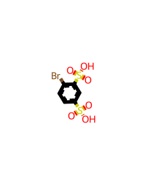 O=S(=O)(O)c1ccc(Br)c(S(=O)(=O)O)c1